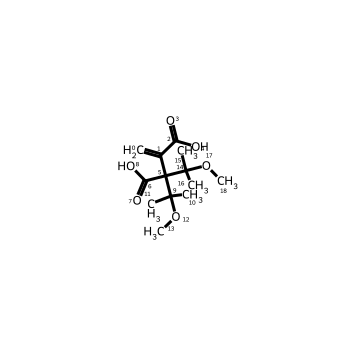 C=C(C(=O)O)C(C(=O)O)(C(C)(C)OC)C(C)(C)OC